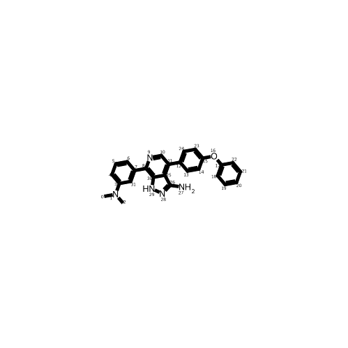 CN(C)c1cccc(-c2ncc(-c3ccc(Oc4ccccc4)cc3)c3c(N)n[nH]c23)c1